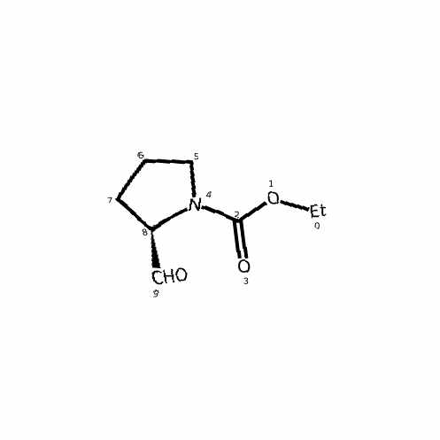 CCOC(=O)N1CCC[C@@H]1C=O